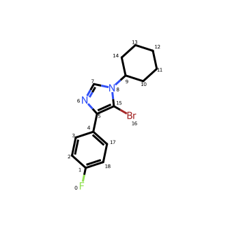 Fc1ccc(-c2ncn(C3CCCCC3)c2Br)cc1